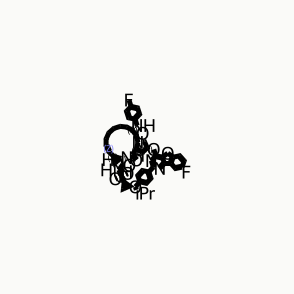 CC(C)Oc1ccc(-c2nc(O[C@@H]3C[C@H]4C(=O)N[C@]5(C(=O)NS(=O)(=O)C6CC6)C[C@H]5/C=C\CCCCC[C@H](Nc5ccc(F)cc5)C(=O)N4C3)c3oc4ccc(F)cc4c3n2)cc1